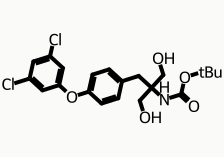 CC(C)(C)OC(=O)NC(CO)(CO)Cc1ccc(Oc2cc(Cl)cc(Cl)c2)cc1